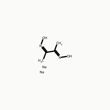 CC(=NO)C(C)=NO.[Na].[Na]